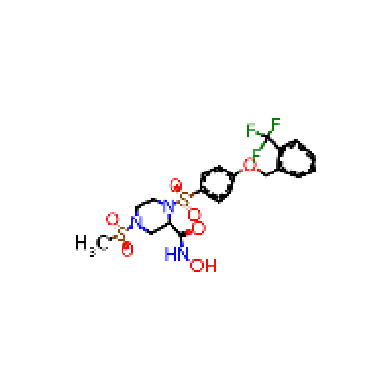 CS(=O)(=O)N1CCN(S(=O)(=O)c2ccc(OCc3ccccc3C(F)(F)F)cc2)C(C(=O)NO)C1